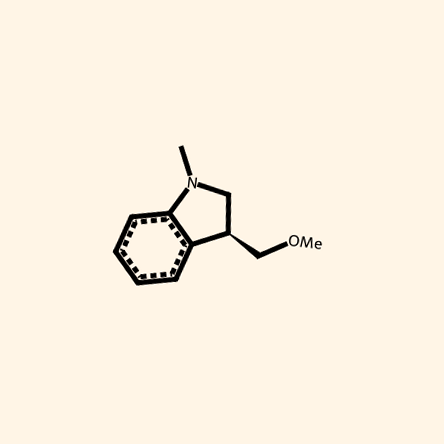 COC[C@@H]1CN(C)c2ccccc21